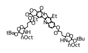 CCCCCCCCC(NC(=O)CCC(=O)Oc1ccc2nc3c(c(CC)c2c1)Cn1c-3cc2c(c1=O)COC(=O)[C@@]2(CC)OC(=O)CCC(=O)NC(CCCCCCCC)C(=O)OC(C)(C)C)C(=O)OC(C)(C)C